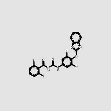 O=C(NC(=O)c1c(F)cccc1F)Nc1cc(Cl)c(Oc2nc3ccccc3o2)c(Cl)c1